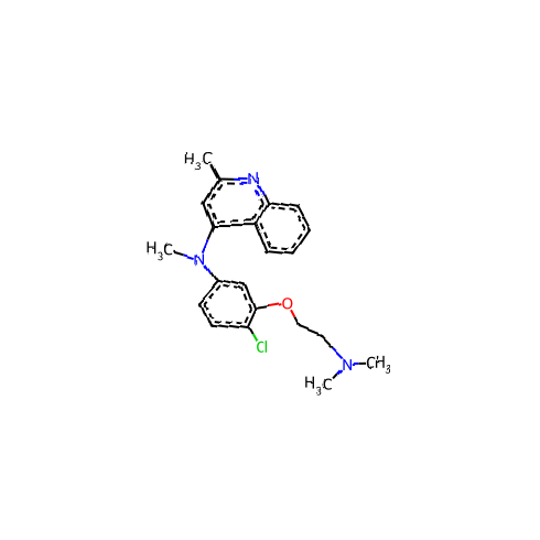 Cc1cc(N(C)c2ccc(Cl)c(OCCN(C)C)c2)c2ccccc2n1